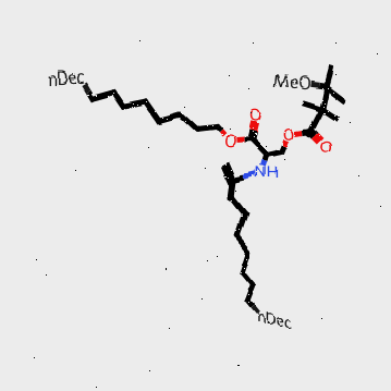 C=C(CCCCCCCCCCCCCCCCC)NC(COC(=O)C(C)(C)C(C)(C)OC)C(=O)OCCCCCCCCCCCCCCCCCC